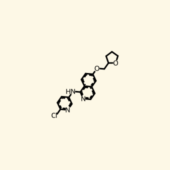 Clc1ccc(Nc2nccc3cc(OCC4CCCO4)ccc23)cn1